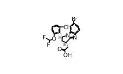 O=C(O)C[C@@H]1C[C@H](c2c(Cl)cccc2OC(F)F)n2c1nc1ccc(Br)cc12